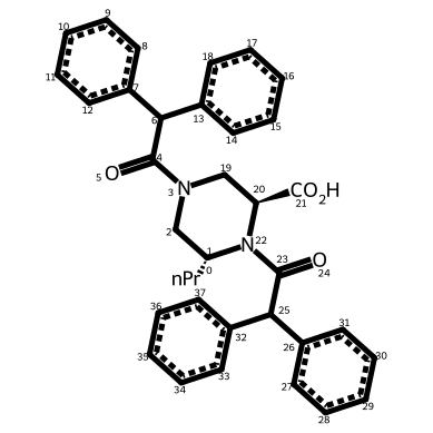 CCC[C@@H]1CN(C(=O)C(c2ccccc2)c2ccccc2)C[C@@H](C(=O)O)N1C(=O)C(c1ccccc1)c1ccccc1